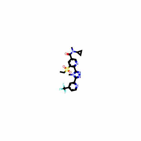 CCS(=O)(=O)c1cc(C(=O)N(C)C2CC2)cnc1-c1nnc(-c2cc(C(F)(F)F)ccn2)n1C